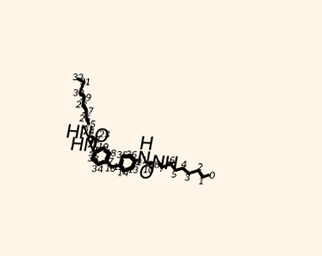 CCCCCCCCNC(=O)Nc1ccc(Cc2ccc(NC(=O)NCCCCCCCC)cc2)cc1